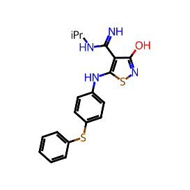 CC(C)NC(=N)c1c(O)nsc1Nc1ccc(Sc2ccccc2)cc1